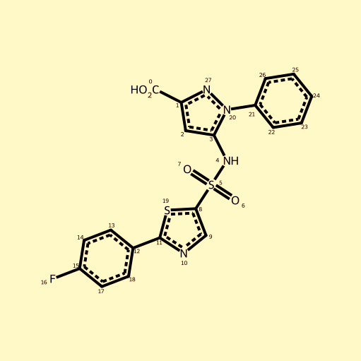 O=C(O)c1cc(NS(=O)(=O)c2cnc(-c3ccc(F)cc3)s2)n(-c2ccccc2)n1